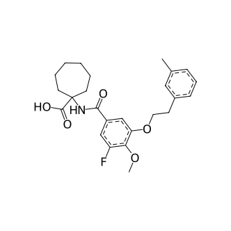 COc1c(F)cc(C(=O)NC2(C(=O)O)CCCCCC2)cc1OCCc1cccc(C)c1